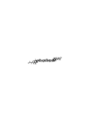 CCCCCc1cc[n+](CCOCCOCCOCCOCC[n+]2ccc(CCCCC)cc2)cc1